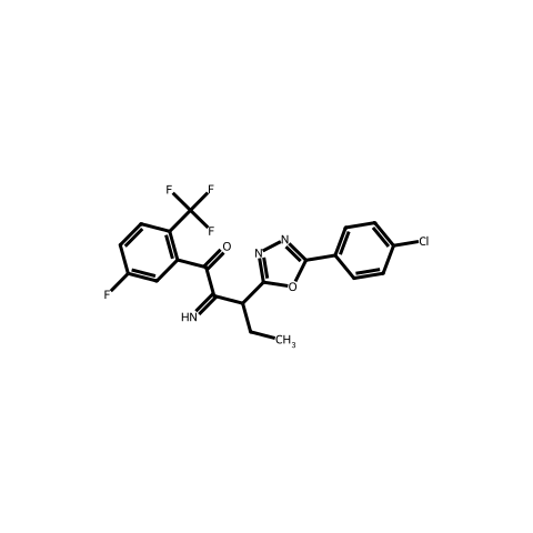 CCC(C(=N)C(=O)c1cc(F)ccc1C(F)(F)F)c1nnc(-c2ccc(Cl)cc2)o1